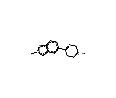 C[C@@H]1CCC(c2ccc3nn(C)cc3c2)=NC1